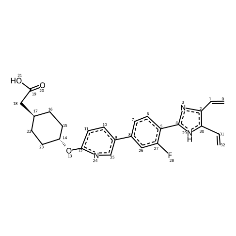 C=Cc1nc(-c2ccc(-c3ccc(O[C@H]4CC[C@H](CC(=O)O)CC4)nc3)cc2F)[nH]c1C=C